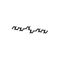 Fc1cc(-c2cc3sc4c5sccc5sc4c3s2)sc1-c1sc(-c2cc3sc4c5sccc5sc4c3s2)cc1F